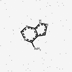 [AsH2]c1ncnc2[nH]ncc12